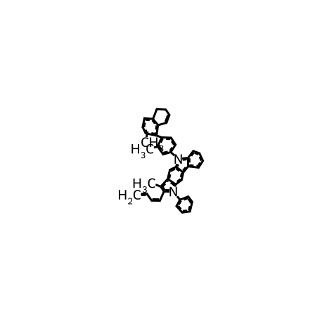 C=C/C=C\c1c(C)c2cc3c(cc2n1-c1ccccc1)c1ccccc1n3-c1ccc(-c2c(C)ccc3c2C=CCC3)c(C)c1